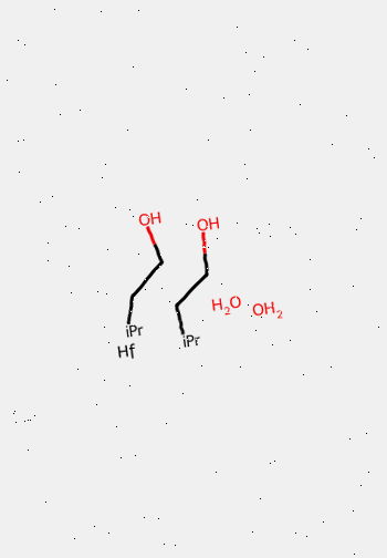 CC(C)CCO.CC(C)CCO.O.O.[Hf]